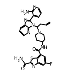 C=CCC(N1CCC(NC(=O)c2cc(F)cc3nc(C(N)=O)sc23)CC1)n1c(-c2cccnc2N)nc2cccnc21